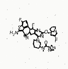 CN(C(=O)n1cncn1)C1CCCCN(c2nc(OC[C@@]34CCCN3C[C@H](F)C4)nc3c(F)c(-c4ccc(F)c5sc(N)c(C#N)c45)c(Cl)cc23)C1